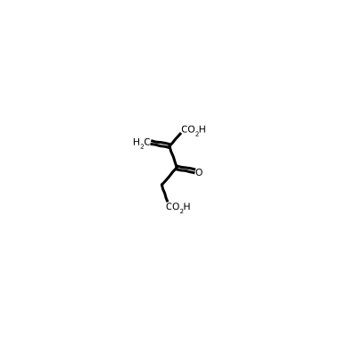 C=C(C(=O)O)C(=O)CC(=O)O